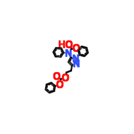 O=C(OCCc1cc(N(C(=O)O)c2ccccc2)n(-c2ccccc2)n1)Oc1ccccc1